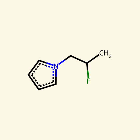 CC(F)Cn1cccc1